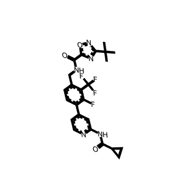 CC(C)(C)c1noc(C(=O)NCc2ccc(-c3ccnc(NC(=O)C4CC4)c3)c(F)c2C(F)(F)F)n1